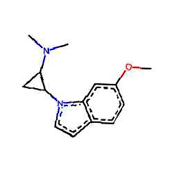 COc1ccc2ccn(C3CC3N(C)C)c2c1